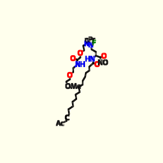 CCCN(CCOCC(=O)NCCOCCOC)N(F)CCC(NC(=O)CCCCCCCCCCCCCCCCC(C)=O)C(=O)N=O